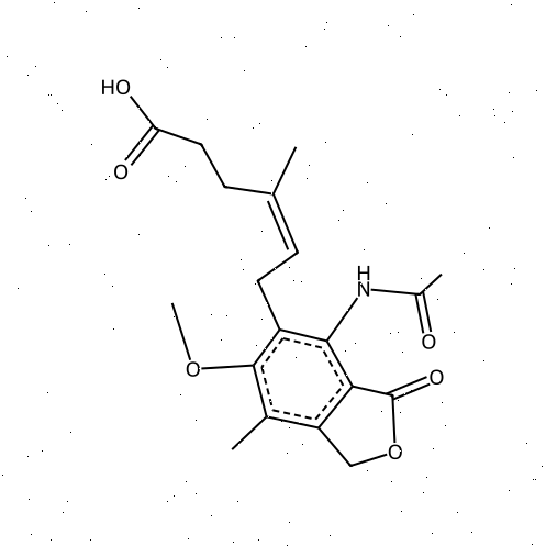 COc1c(C)c2c(c(NC(C)=O)c1CC=C(C)CCC(=O)O)C(=O)OC2